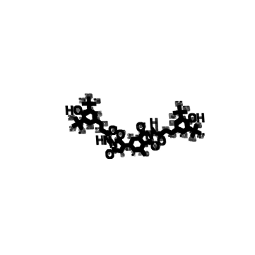 CC1=CC(C2CC(=O)N(NC(=O)CCc3cc(C(C)(C)C)c(O)c(C(C)(C)C)c3)C2=O)CC2C(=O)N(NC(=O)CCc3cc(C(C)(C)C)c(O)c(C(C)(C)C)c3)C(=O)C12